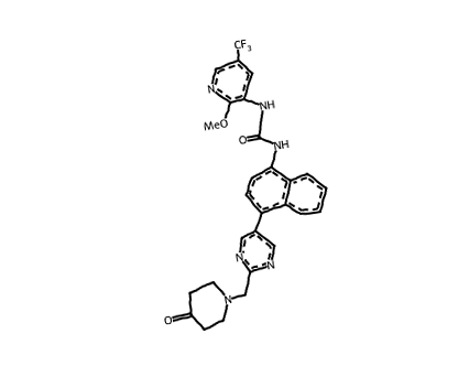 COc1ncc(C(F)(F)F)cc1NC(=O)Nc1ccc(-c2cnc(CN3CCC(=O)CC3)nc2)c2ccccc12